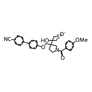 COc1ccc(C(=O)N2CCC(COc3ccc(-c4ccc(C#N)cc4)cc3)(C3(O)C[S+]([O-])C3)C2)cc1